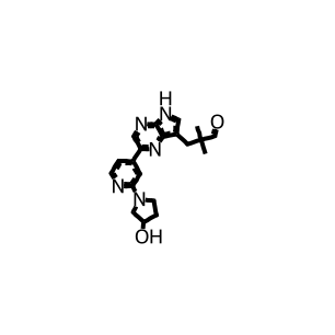 CC(C)(C=O)Cc1c[nH]c2ncc(-c3ccnc(N4CCC(O)C4)c3)nc12